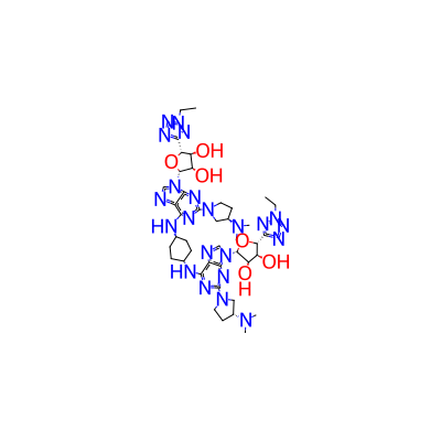 CCn1nnc([C@H]2O[C@@H](n3cnc4c(N[C@H]5CC[C@H](Nc6nc(N7CC[C@@H](N(C)C)C7)nc7c6ncn7[C@@H]6O[C@H](c7nnn(CC)n7)[C@@H](O)[C@H]6O)CC5)nc(N5CC[C@@H](N(C)C)C5)nc43)[C@H](O)[C@@H]2O)n1